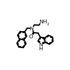 NCCN(Cc1ccc2ccccc2c1)C(=O)Cc1c[nH]c2ccccc12